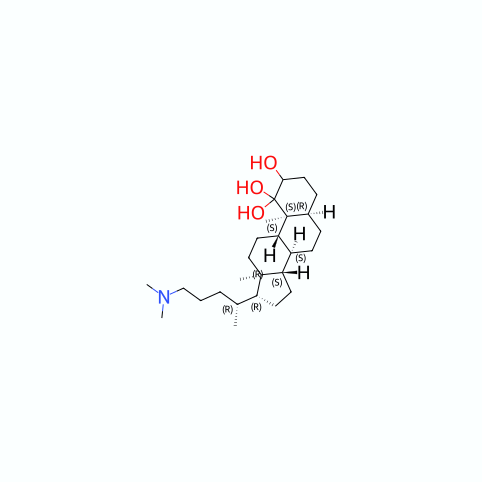 C[C@H](CCCN(C)C)[C@H]1CC[C@H]2[C@@H]3CC[C@@H]4CCC(O)C(O)(O)[C@]4(C)[C@H]3CC[C@]12C